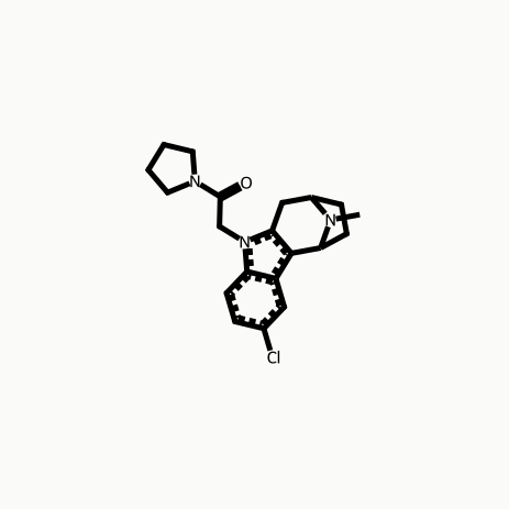 CN1C2CCC1c1c(n(CC(=O)N3CCCC3)c3ccc(Cl)cc13)C2